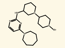 CC(C)N1CCC(N2CCCC(Nc3nccc(N4CCCCCC4)n3)C2)CC1